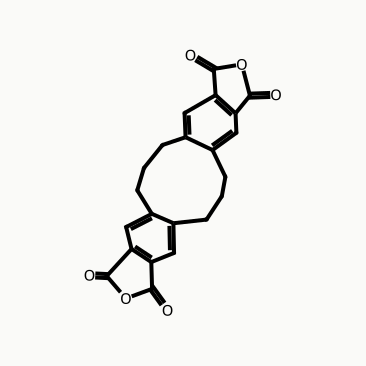 O=C1OC(=O)c2cc3c(cc21)CCCc1cc2c(cc1CCC3)C(=O)OC2=O